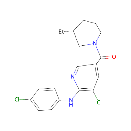 CCC1CCCN(C(=O)c2cnc(Nc3ccc(Cl)cc3)c(Cl)c2)C1